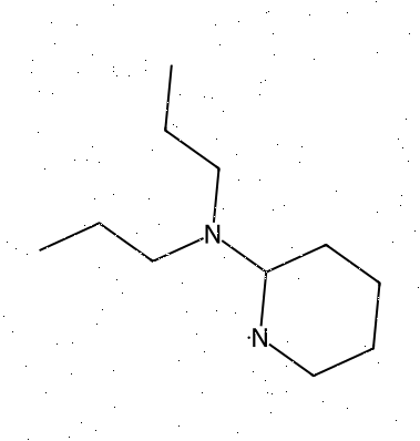 CCCN(CCC)C1CCCC[N]1